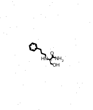 NC(=O)[C@@H](CO)NCCCc1ccccc1